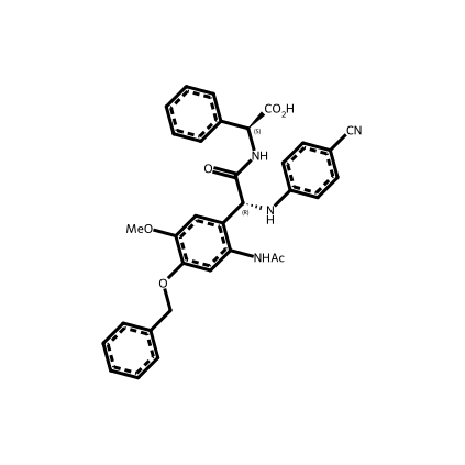 COc1cc([C@@H](Nc2ccc(C#N)cc2)C(=O)N[C@H](C(=O)O)c2ccccc2)c(NC(C)=O)cc1OCc1ccccc1